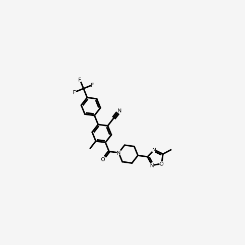 Cc1nc(C2CCN(C(=O)c3cc(C#N)c(-c4ccc(C(F)(F)F)cc4)cc3C)CC2)no1